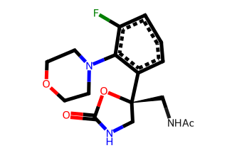 CC(=O)NC[C@@]1(c2cccc(F)c2N2CCOCC2)CNC(=O)O1